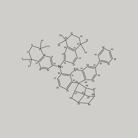 CC1(C)CCC(C)(C)c2cc(N(c3ccc4c(c3)C(C)(C)CCC4(C)C)c3cccc4c3Sc3cc(-c5ccccc5)ccc3C43C4CC5CC6CC3C64C5)ccc21